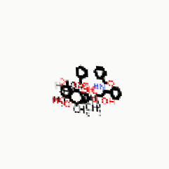 CC(=O)O[C@@]12CO[C@@H]1C[C@H](O)[C@@]1(C)C(=O)[C@H](C)C3=C(C)[C@@H](OC(=O)[C@H](O)[C@@H](NC(=O)c4ccccc4)c4ccccc4)C[C@](O)([C@@H](OC(=O)c4ccccc4)[C@H]21)C3(C)C